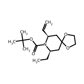 C=C[C@H]1CC2(C[C@@H](CC)N1C(=O)OC(C)(C)C)OCCO2